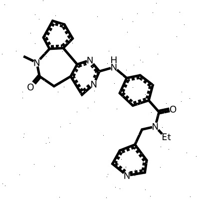 CCN(Cc1ccncc1)C(=O)c1ccc(Nc2ncc3c(n2)-c2ccccc2N(C)C(=O)C3)cc1